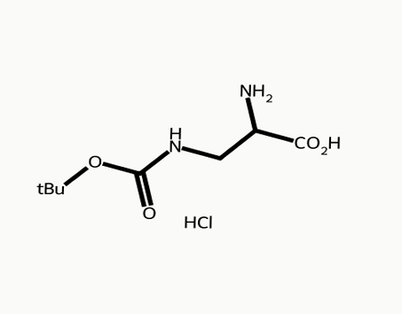 CC(C)(C)OC(=O)NCC(N)C(=O)O.Cl